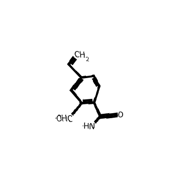 C=Cc1ccc(C([NH])=O)c([C]=O)c1